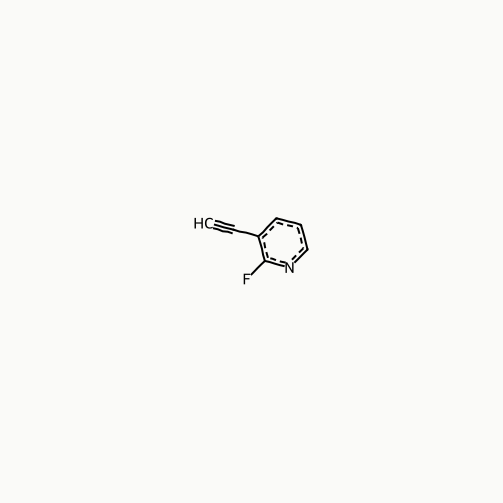 C#Cc1cccnc1F